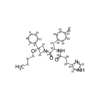 CCCCOC1(c2ccccc2)CN(C(=O)C(Cc2ccc(F)cc2)NC(=O)CCc2c[nH]cn2)C1